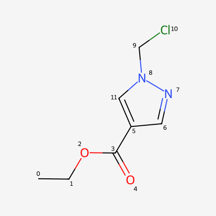 CCOC(=O)c1cnn(CCl)c1